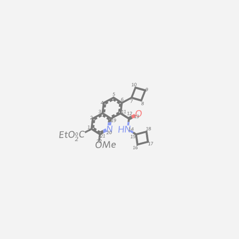 CCOC(=O)c1cc2ccc(C3CCC3)c(C(=O)NC3CCC3)c2nc1OC